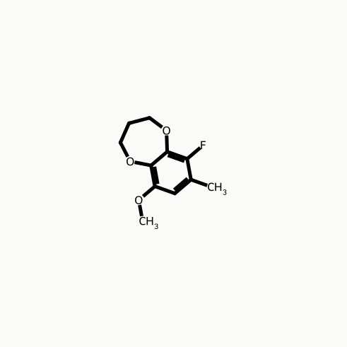 COc1cc(C)c(F)c2c1OCCCO2